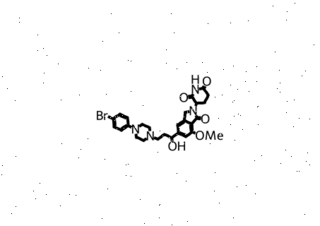 COc1cc(C(O)CCN2CCN(c3ccc(Br)cc3)CC2)cc2c1C(=O)N(C1CCC(=O)NC1=O)C2